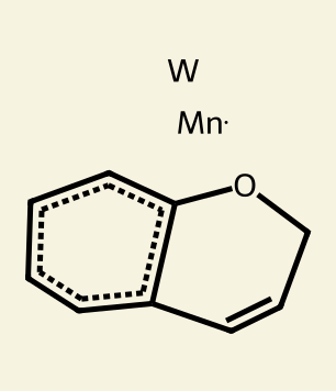 C1=Cc2ccccc2OC1.[Mn].[W]